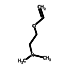 C=COCCN(C)C